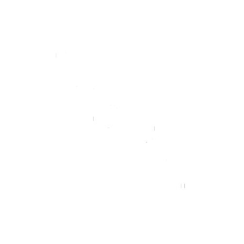 C=CCCOc1ccc(C2CCC(c3ccc(-c4ccc(OCCCC)cc4)c(F)c3F)CC2)c(F)c1F